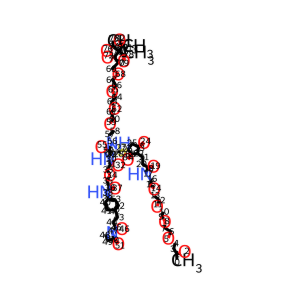 CC(=O)CCOCCOCCOCCOCCNC(=O)CCC1C(=O)CC(SC[C@H](NC(=O)COCC(=O)Nc2ccc(CCC(=O)N3CCC3=O)cc2)C(=O)NCCOCCOCCOCCOCCC(=O)C(C(C)=O)(C(C)=O)C(C)=O)C1=O